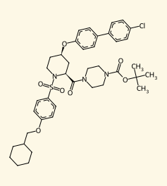 CC(C)(C)OC(=O)N1CCN(C(=O)[C@@H]2C[C@H](Oc3ccc(-c4ccc(Cl)cc4)cc3)CCN2S(=O)(=O)c2ccc(OCC3CCCCC3)cc2)CC1